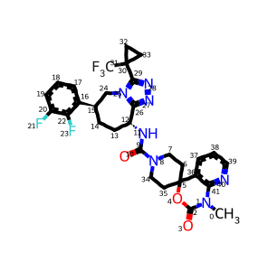 CN1C(=O)OC2(CCN(C(=O)N[C@@H]3CC[C@@H](c4cccc(F)c4F)Cn4c3nnc4C3(C(F)(F)F)CC3)CC2)c2cccnc21